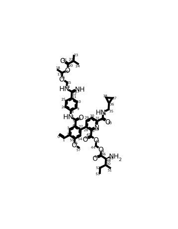 C=Cc1cc(C(=O)Nc2ccc(C(=N)NCOC(C)OC(=O)C(C)C)cc2)c(-c2ccc(C(=O)NCC3CC3)nc2C(=O)OCOC(=O)[C@@H](N)C(C)CC)cc1OC